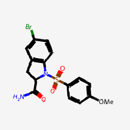 COc1ccc(S(=O)(=O)N2c3[c]cc(Br)cc3CC2C(N)=O)cc1